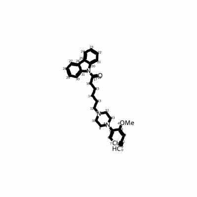 C#C/C=C(OC)\C(=C/C)N1CCN(CCCCCC(=O)n2c3ccccc3c3ccccc32)CC1